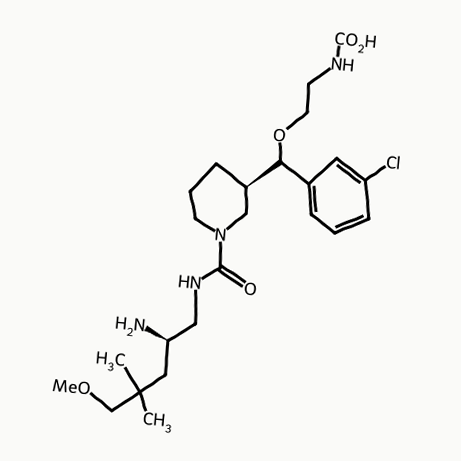 COCC(C)(C)C[C@@H](N)CNC(=O)N1CCC[C@@H](C(OCCNC(=O)O)c2cccc(Cl)c2)C1